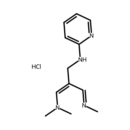 C/N=C/C(=CN(C)C)CNc1ccccn1.Cl